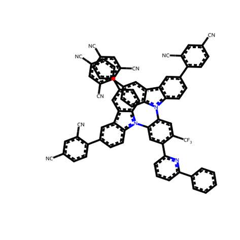 N#Cc1ccc(-c2ccc3c(c2)c2cc(-c4ccc(C#N)cc4C#N)ccc2n3-c2cc(-c3cccc(-c4ccccc4)n3)c(C(F)(F)F)cc2-n2c3ccc(-c4ccc(C#N)cc4C#N)cc3c3cc(-c4ccc(C#N)cc4C#N)ccc32)c(C#N)c1